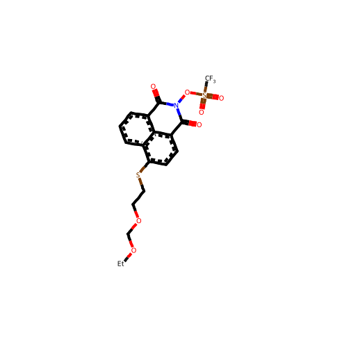 CCOCOCCSc1ccc2c3c(cccc13)C(=O)N(OS(=O)(=O)C(F)(F)F)C2=O